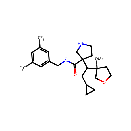 COC1(C(CC2CC2)C2(C(=O)NCc3cc(C(F)(F)F)cc(C(F)(F)F)c3)CCNC2)CCOC1